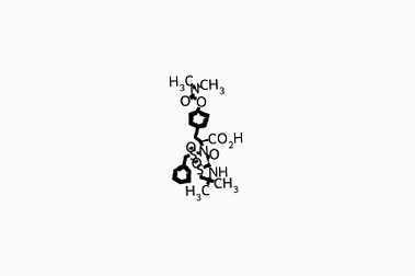 CN(C)C(=O)Oc1ccc(C[C@@H](C(=O)O)N(C(=O)[C@H]2NC(C)(C)CS2)S(=O)(=O)Cc2ccccc2)cc1